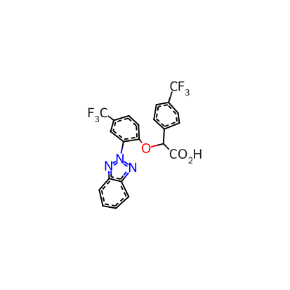 O=C(O)C(Oc1ccc(C(F)(F)F)cc1-n1nc2ccccc2n1)c1ccc(C(F)(F)F)cc1